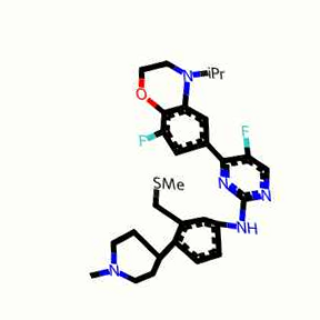 CSCc1cc(Nc2ncc(F)c(-c3cc(F)c4c(c3)N(C(C)C)CCO4)n2)ccc1C1CCN(C)CC1